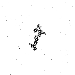 O=[N+]([O-])c1cc(S(=O)(=O)Nc2ncnc3cc(N4CCN(Cc5cc(Cl)ccc5-c5ccccc5)CC4)ccc23)ccc1N[C@H](CCNC1CCC1)CSc1ccccc1